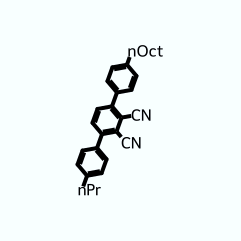 CCCCCCCCc1ccc(-c2ccc(-c3ccc(CCC)cc3)c(C#N)c2C#N)cc1